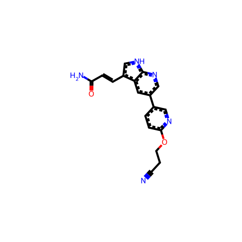 N#CCCOc1ccc(-c2cnc3[nH]cc(/C=C/C(N)=O)c3c2)cn1